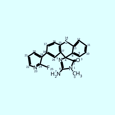 CN1C(=O)C2(N=C1N)c1ccccc1Sc1ccc(-c3cccnc3F)cc12